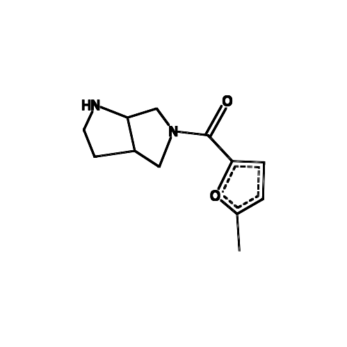 Cc1ccc(C(=O)N2CC3CCNC3C2)o1